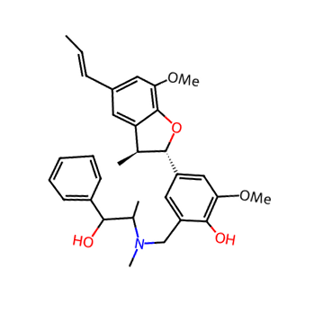 C/C=C/c1cc(OC)c2c(c1)[C@H](C)[C@@H](c1cc(CN(C)C(C)C(O)c3ccccc3)c(O)c(OC)c1)O2